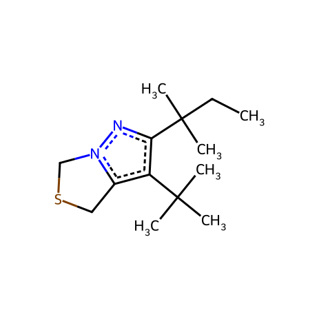 CCC(C)(C)c1nn2c(c1C(C)(C)C)CSC2